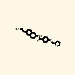 C=CCc1ccc2c(c1)CCC(NC(=O)c1ccc(OCC3CCCO3)cc1)C2